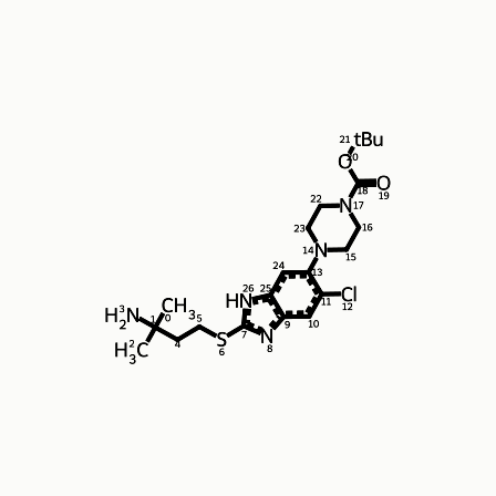 CC(C)(N)CCSc1nc2cc(Cl)c(N3CCN(C(=O)OC(C)(C)C)CC3)cc2[nH]1